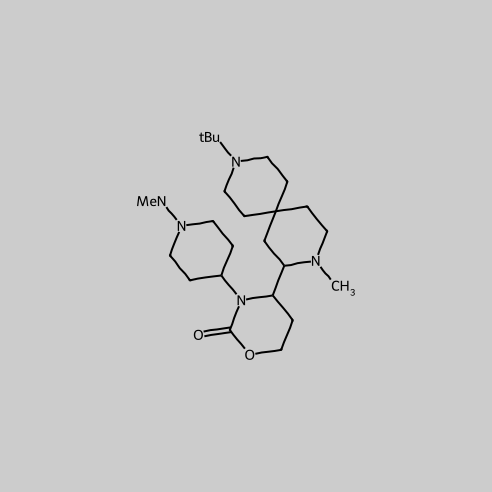 CNN1CCC(N2C(=O)OCCC2C2CC3(CCN2C)CCN(C(C)(C)C)CC3)CC1